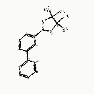 CC1(C)ON(c2cccc(-c3ccccn3)c2)OC1(C)C